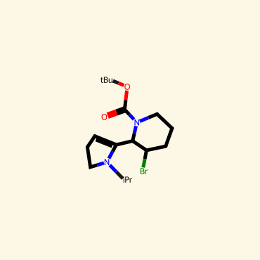 CC(C)N1CCC=C1C1C(Br)CCCN1C(=O)OC(C)(C)C